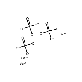 O=P([O-])([O-])Cl.O=P([O-])([O-])Cl.O=P([O-])([O-])Cl.[Ba+2].[Ca+2].[Sr+2]